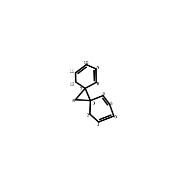 C1=CCC2(C=C1)CC21C=CC=CC1